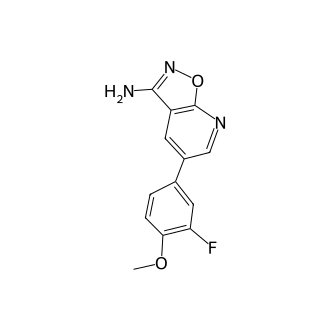 COc1ccc(-c2cnc3onc(N)c3c2)cc1F